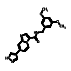 COc1cc(CNC(=O)c2cnc3cc(-c4cn[nH]c4)ccn23)cc(OC)c1